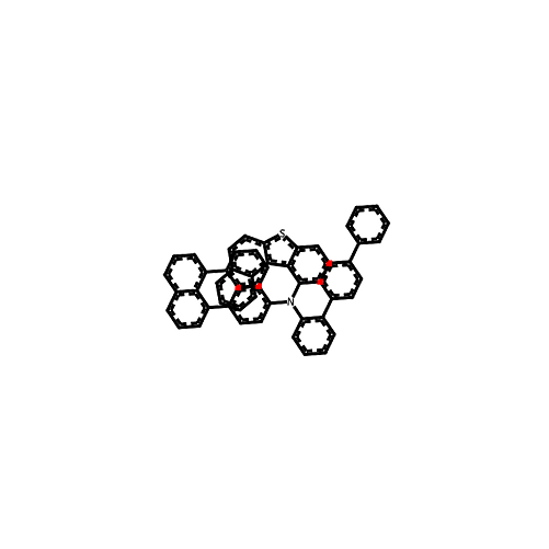 c1ccc(-c2ccc(-c3ccccc3N(c3ccc(-c4cccc5cccc(-c6ccccc6)c45)cc3)c3cccc4sc5ccc6ccccc6c5c34)cc2)cc1